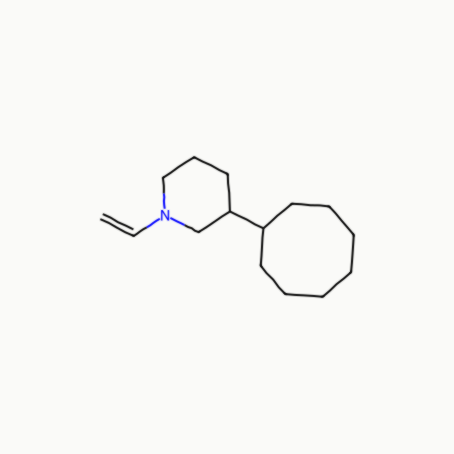 C=CN1CCCC(C2CCCCCCC2)C1